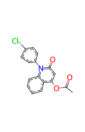 CC(=O)Oc1cc(=O)n(-c2ccc(Cl)cc2)c2ccccc12